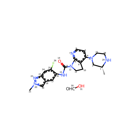 C[C@@H]1CN(c2ccnc3c2CCN3C(=O)Nc2cc3cn(C)nc3cc2F)CCN1.O=CO